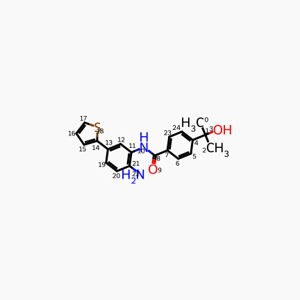 CC(C)(O)c1ccc(C(=O)Nc2cc(-c3cccs3)ccc2N)cc1